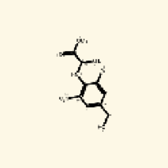 COC(=O)[C@@H](C)Nc1c(Br)cc(CO)cc1[N+](=O)[O-]